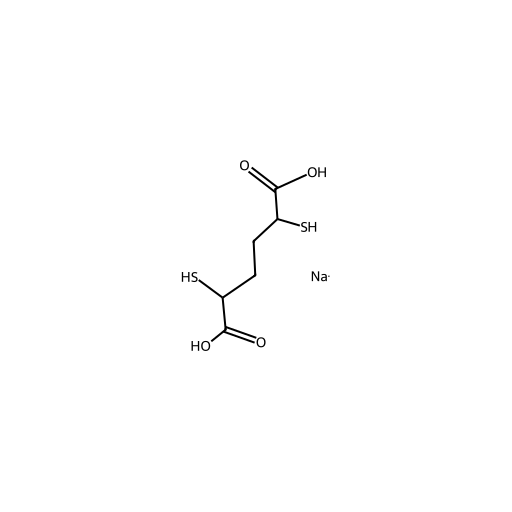 O=C(O)C(S)CCC(S)C(=O)O.[Na]